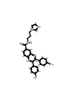 O=C(NCCCn1ccnc1)c1ccc2nc(-c3ccc(F)cc3)c(-c3ccc(F)cc3)nc2c1